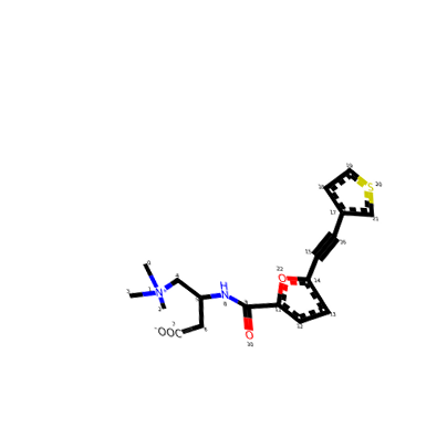 C[N+](C)(C)CC(CC(=O)[O-])NC(=O)c1ccc(C#Cc2ccsc2)o1